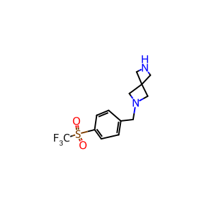 O=S(=O)(c1ccc(CN2CC3(CNC3)C2)cc1)C(F)(F)F